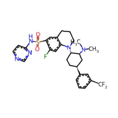 CN(C)[C@H]1C[C@@H](c2cccc(C(F)(F)F)c2)CC[C@@H]1N1CCCc2cc(S(=O)(=O)Nc3ccncn3)c(F)cc21